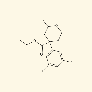 CCOC(=O)C1(c2cc(F)cc(F)c2)CCOC(C)C1